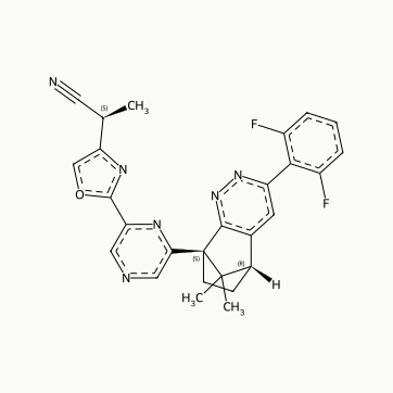 C[C@H](C#N)c1coc(-c2cncc([C@@]34CC[C@@H](c5cc(-c6c(F)cccc6F)nnc53)C4(C)C)n2)n1